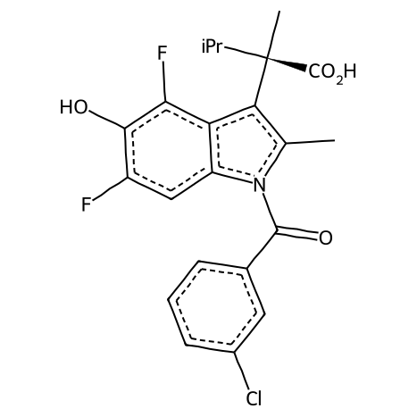 Cc1c([C@](C)(C(=O)O)C(C)C)c2c(F)c(O)c(F)cc2n1C(=O)c1cccc(Cl)c1